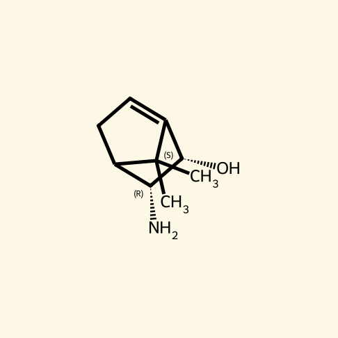 CC1(C)C2=CCC1[C@@H](N)[C@H]2O